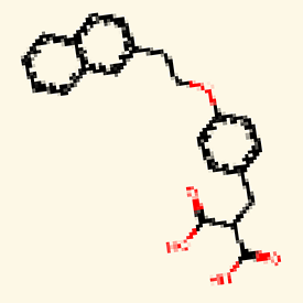 O=C(O)C(Cc1ccc(OCCc2ccc3ccccc3c2)cc1)C(=O)O